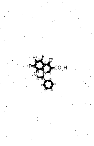 O=C(O)c1cn2c3c(c(F)c(F)c(F)c3c1=O)OC[C@@H]2c1ccccc1